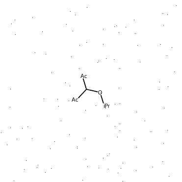 CC(=O)C(OC(C)C)C(C)=O